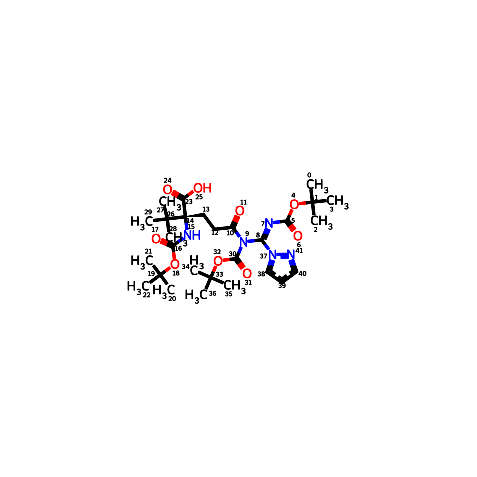 CC(C)(C)OC(=O)N=C(N(C(=O)CC[C@](NC(=O)OC(C)(C)C)(C(=O)O)C(C)(C)C)C(=O)OC(C)(C)C)n1cccn1